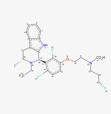 C[C@@H]1Cc2c([nH]c3ccccc23)[C@@H](c2c(F)ccc(OCCN(CCCF)C(=O)O)c2F)N1CC(F)(F)F